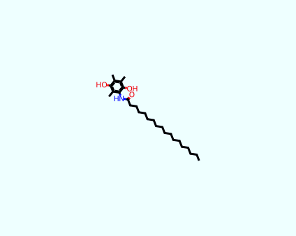 CCCCCCCCCCCCCCCCCC(=O)Nc1c(C)c(O)c(C)c(C)c1O